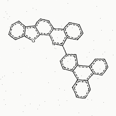 c1ccc2c(c1)oc1c2ccc2c3ccccc3c(-c3ccc4c5ccccc5c5ccccc5c4c3)nc21